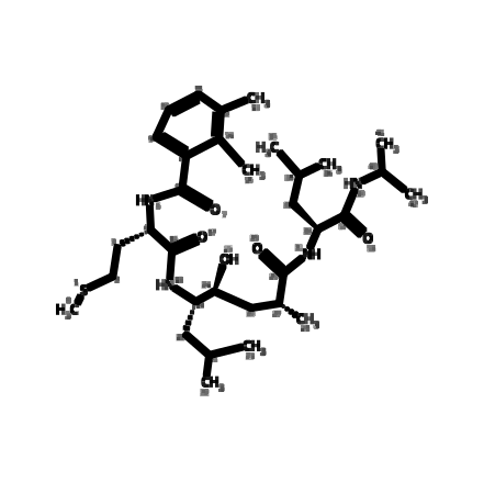 CSCC[C@H](NC(=O)c1cccc(C)c1C)C(=O)N[C@@H](CC(C)C)[C@@H](O)C[C@@H](C)C(=O)N[C@@H](CC(C)C)C(=O)NC(C)C